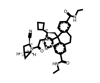 CCNC(=O)c1ccc2c(c1)CCc1cc(C(=O)NCC)ccc1C2(C[C@@H](NCC(=O)N1[C@H](C#N)C[C@@H]2C[C@@H]21)C1CCC1)c1nnn[nH]1